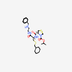 CC(C)OC(=O)N1CSC[C@H]1C(=O)N[C@@H](CSCC1CCCCC1)C(=O)NCCNCc1ccccc1